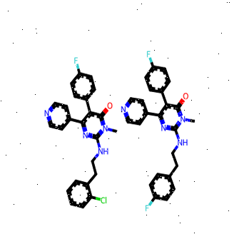 Cn1c(NCCc2ccc(F)cc2)nc(-c2ccncc2)c(-c2ccc(F)cc2)c1=O.Cn1c(NCCc2ccccc2Cl)nc(-c2ccncc2)c(-c2ccc(F)cc2)c1=O